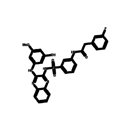 COc1cc(O)cc(Nc2nc3ccccc3nc2NS(=O)(=O)c2cccc(NC(=O)Cc3cccc(F)c3)c2)c1